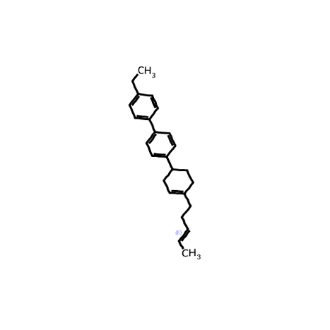 C/C=C/CCC1=CCC(c2ccc(-c3ccc(CC)cc3)cc2)CC1